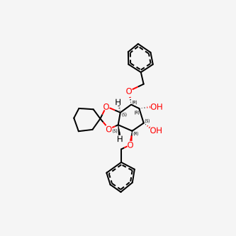 O[C@@H]1[C@H](O)[C@@H](OCc2ccccc2)[C@@H]2OC3(CCCCC3)O[C@H]2[C@@H]1OCc1ccccc1